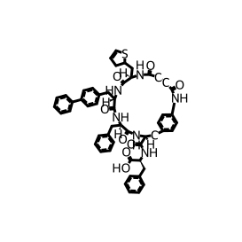 O=C1CCC(=O)N[C@H](CC2CC=CS2)C(=O)N[C@@H](Cc2ccc(-c3ccccc3)cc2)C(=O)N[C@H](Cc2ccccc2)C(=O)N[C@@H](C(=O)N[C@@H](Cc2ccccc2)C(=O)O)Cc2ccc(cc2)N1